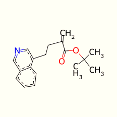 C=C(CCc1cncc2ccccc12)C(=O)OC(C)(C)C